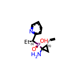 C=C[C@@H]1C[C@]1(N)P(=O)(O)[C@@H](CC)c1ccccn1